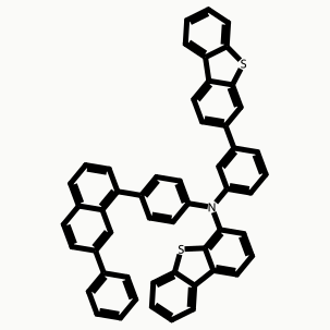 c1ccc(-c2ccc3cccc(-c4ccc(N(c5cccc(-c6ccc7c(c6)sc6ccccc67)c5)c5cccc6c5sc5ccccc56)cc4)c3c2)cc1